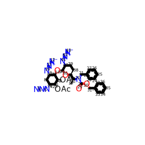 CC(=O)O[C@@H]1[C@@H](OC(C)=O)[C@H](N=[N+]=[N-])C[C@H](N=[N+]=[N-])[C@H]1O[C@H]1O[C@H]([C@H](C)N(Cc2ccccc2)C(=O)OCc2ccccc2)CCC1N=[N+]=[N-]